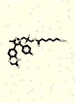 CCCCCCCCCCCCCCCC(=O)OCC(F)(F)Cn1nc(C)c(-c2ccc3c(c2)NC(=O)CO3)c1-c1ccc(F)cc1